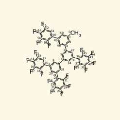 Cc1cc(-c2cc(-c3cc(-c4cc(F)c(F)c(F)c4F)cc(-c4c(F)c(F)c(F)c(F)c4F)c3)cc(-c3c(F)c(F)c(F)c(F)c3F)c2)cc(-c2cc(F)c(F)c(F)c2F)c1